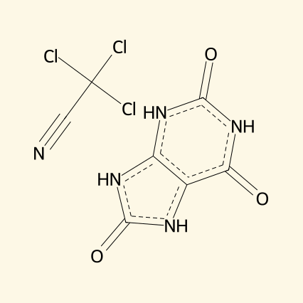 N#CC(Cl)(Cl)Cl.O=c1[nH]c(=O)c2[nH]c(=O)[nH]c2[nH]1